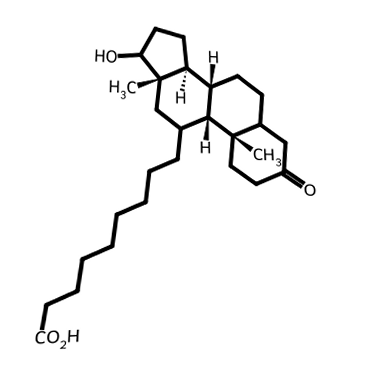 C[C@]12CCC(=O)CC1CC[C@@H]1[C@H]2C(CCCCCCCCC(=O)O)C[C@]2(C)C(O)CC[C@@H]12